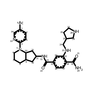 CC(=O)c1ccc(N2CCCC3CC(NC(=O)c4ccc(C(N)=O)c(NCC5CCNC5)c4)CC32)nc1